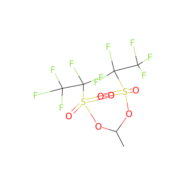 CC(OS(=O)(=O)C(F)(F)C(F)(F)F)OS(=O)(=O)C(F)(F)C(F)(F)F